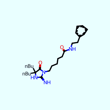 CCCCC1(CCCC)NC(=N)N(CCCCCC(=O)NCCc2ccccc2)C1=O